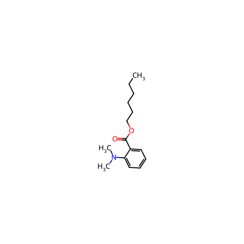 CCCCCCOC(=O)c1ccccc1N(C)C